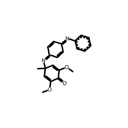 COC1=CC(C)(N=C2C=CC(=Nc3ccccc3)C=C2)C=C(OC)C1=O